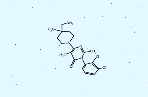 Cc1c(N2CCC(C)(CN)CC2)nc(C)n(-c2cccc(Cl)c2Cl)c1=O